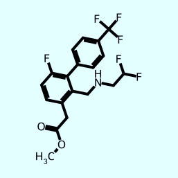 COC(=O)Cc1ccc(F)c(-c2ccc(C(F)(F)F)cc2)c1CNCC(F)F